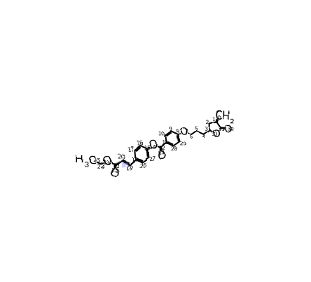 C=C1CC(CCCOc2ccc(C(=O)Oc3ccc(/C=C/C(=O)OCC)cc3)cc2)OC1=O